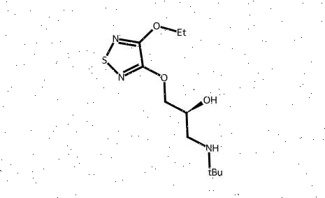 CCOc1nsnc1OC[C@@H](O)CNC(C)(C)C